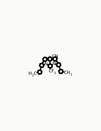 Cc1cccc(-c2ccc3c4ccccc4n(-c4cc(C(F)(F)F)cc(-n5c6ccccc6c6ccc(-c7cccc(C)c7)cc65)c4-c4cccc(C#N)c4)c3c2)c1